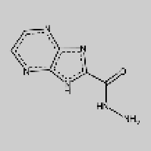 NNC(=O)c1nc2nccnc2[nH]1